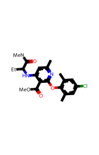 CCC(Nc1cc(C)nc(Oc2c(C)cc(Cl)cc2C)c1C(=O)OC)C(=O)NC